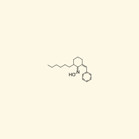 CCCCCCC1CCCC(=Cc2ccccc2)C1=NO